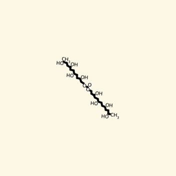 CC(O)CCC(O)CCC(O)CCC(O)CCOC(=O)OCCC(O)CCC(O)CCC(O)CCC(C)O